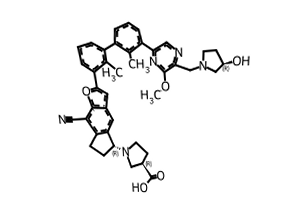 COc1nc(-c2cccc(-c3cccc(-c4cc5cc6c(c(C#N)c5o4)CC[C@H]6N4CC[C@@H](C(=O)O)C4)c3C)c2C)cnc1CN1CC[C@@H](O)C1